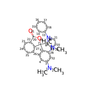 CN(C)c1ccc(C2(c3cccn3-c3ccccc3)OC(=O)c3ccccc32)c(N(C)C)c1